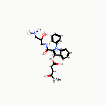 CCN(CC)CC(O)CNC(=O)c1c(OC(=O)CCC(=O)OC)c2ccccc2n1-c1ccccc1